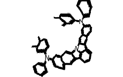 Cc1ccc(N(c2ccccc2)c2ccc3cc4c5cccc6c7cc8ccc(N(c9ccccc9)c9ccc(C)c(C)c9)cc8cc7n(c4cc3c2)c56)cc1C